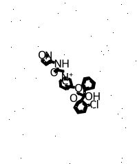 O=C(C[N+]12CCC(CC1)C(OC(=O)[C@@](O)(c1ccccc1)c1ccccc1Cl)C2)Nc1ccon1